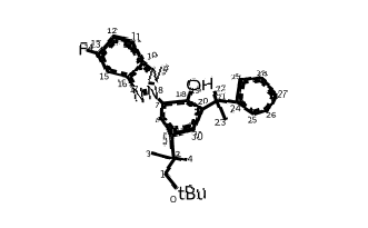 CC(C)(C)CC(C)(C)c1cc(-n2nc3ccc(F)cc3n2)c(O)c(C(C)(C)c2ccccc2)c1